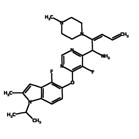 C=C/C=C(\C(N)c1ncnc(Oc2ccc3c(cc(C)n3C(C)C)c2F)c1F)N1CCN(C)CC1